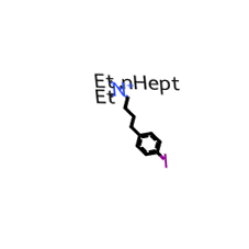 CCCCCCC[N+](CC)(CC)CCCCc1ccc(I)cc1